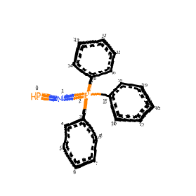 P=[N+]=P(c1ccccc1)(c1ccccc1)c1ccccc1